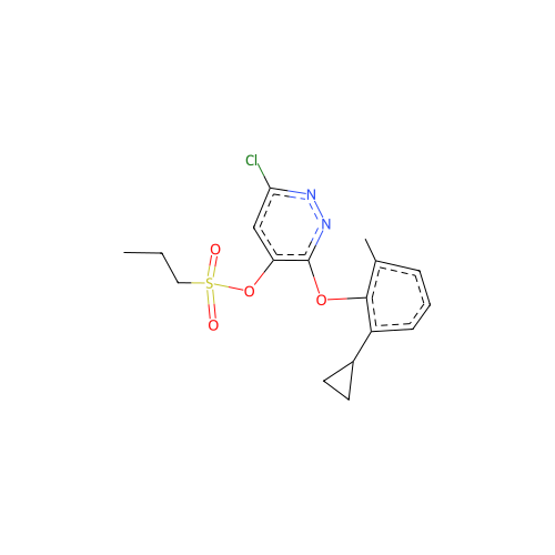 CCCS(=O)(=O)Oc1cc(Cl)nnc1Oc1c(C)cccc1C1CC1